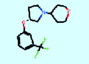 FC(F)(F)c1cccc(O[C@@H]2CCN(C3CCOCC3)C2)c1